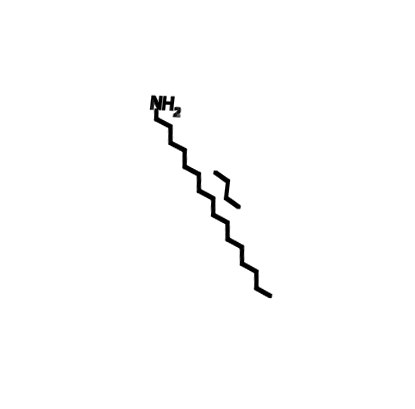 CCCC.CCCCCCCCCCCCCCCCN